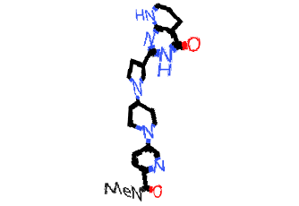 CNC(=O)c1ccc(N2CCC(N3CCC(c4nc5c(c(=O)[nH]4)CCCN5)C3)CC2)cn1